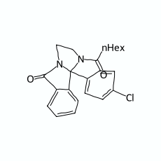 CCCCCCC(=O)N1CCN2C(=O)c3ccccc3C12c1ccc(Cl)cc1